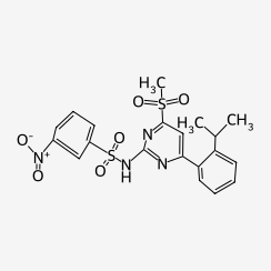 CC(C)c1ccccc1-c1cc(S(C)(=O)=O)nc(NS(=O)(=O)c2cccc([N+](=O)[O-])c2)n1